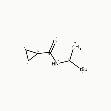 CC(NC(=O)C1CC1)C(C)(C)C